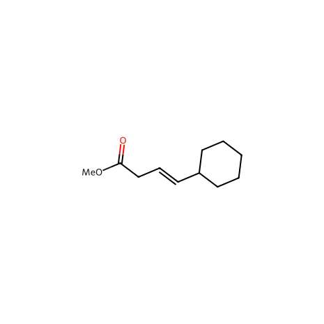 COC(=O)CC=CC1CCCCC1